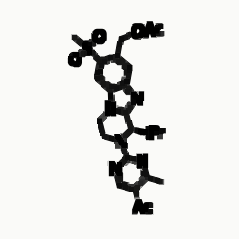 CC(=O)OCc1cc2nc3n(c2cc1S(C)(=O)=O)CCN(c1ncc(C(C)=O)c(C)n1)[C@@H]3C(C)C